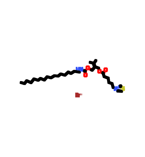 CCCCCCCCCCCCCCCCCCNC(=O)OCC(COC(=O)CCCCC[n+]1ccsc1)=C(C)C.[Br-]